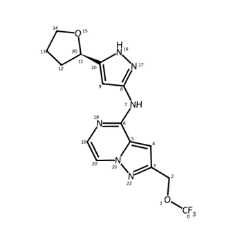 FC(F)(F)OCc1cc2c(Nc3cc([C@H]4C[CH]CO4)[nH]n3)nccn2n1